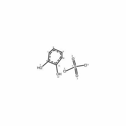 O=S(=O)(Cl)Cl.Oc1ccccc1O